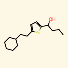 CCCC(O)c1ccc(CCC2CCCCC2)s1